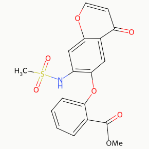 COC(=O)c1ccccc1Oc1cc2c(=O)ccoc2cc1NS(C)(=O)=O